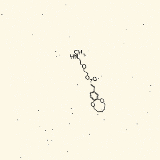 CNCCOCCOC(=O)/C=C/c1ccc2c(c1)OCCCCCO2